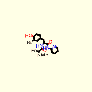 CNC(C(=O)NC(Cc1ccc(O)c(C(C)(C)C)c1)C(=O)Nc1ccccn1)C(C)C